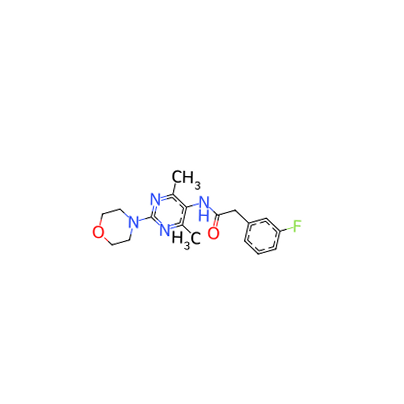 Cc1nc(N2CCOCC2)nc(C)c1NC(=O)Cc1cccc(F)c1